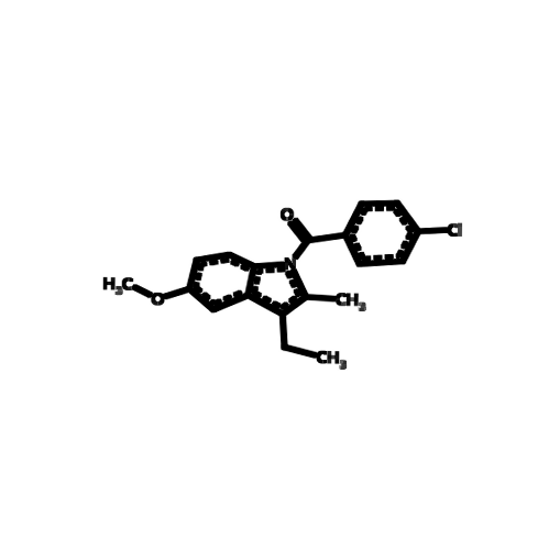 CCc1c(C)n(C(=O)c2ccc(Cl)cc2)c2ccc(OC)cc12